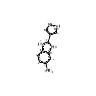 Nc1ccc2[nH]c(-c3cn[nH]c3)nc2c1